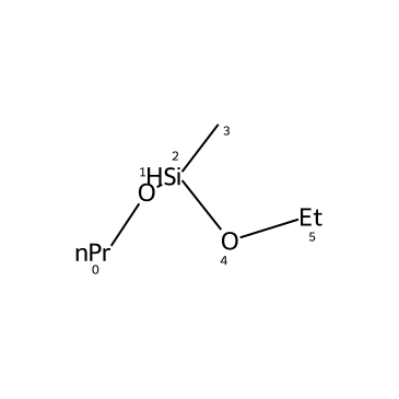 CCCO[SiH](C)OCC